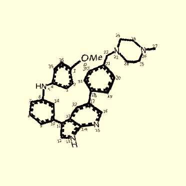 COc1ccc(Nc2cccc(-c3c[nH]c4ncc(-c5ccc(CN6CCN(C)CC6)cc5)cc34)c2)cc1